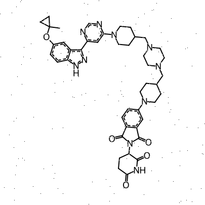 CC1(Oc2ccc3[nH]nc(-c4cc(N5CCC(CN6CCN(CC7CCN(c8ccc9c(c8)C(=O)N(C8CCC(=O)NC8=O)C9=O)CC7)CC6)CC5)ncn4)c3c2)CC1